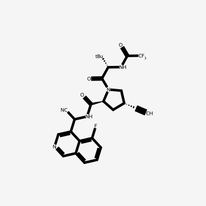 C#C[C@@H]1C[C@@H](C(=O)NC(C#N)c2cncc3cccc(F)c23)N(C(=O)[C@@H](NC(=O)C(F)(F)F)C(C)(C)C)C1